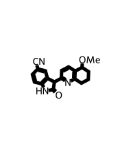 COC1CCCc2nc(C3C(=O)Nc4ccc(C#N)cc43)ccc21